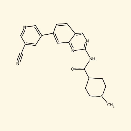 CN1CCC(C(=O)Nc2ncc3ccc(-c4cncc(C#N)c4)cc3n2)CC1